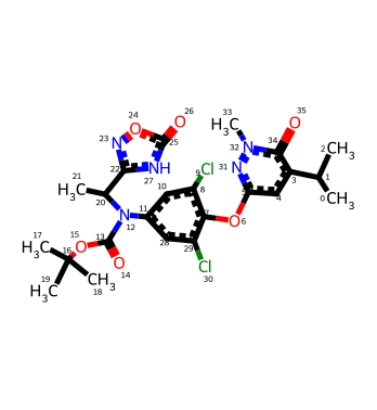 CC(C)c1cc(Oc2c(Cl)cc(N(C(=O)OC(C)(C)C)C(C)c3noc(=O)[nH]3)cc2Cl)nn(C)c1=O